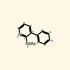 CNc1ncccc1-c1c[c]ccc1